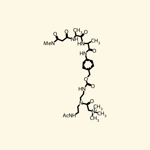 CNC(=O)CC(=O)NC(C)C(=O)NC(C)C(=O)Nc1ccc(COC(=O)NCCN(CCNC(C)=O)C(=O)C[N+](C)(C)C)cc1